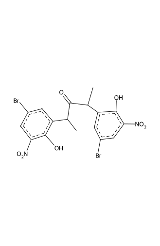 CC(C(=O)C(C)c1cc(Br)cc([N+](=O)[O-])c1O)c1cc(Br)cc([N+](=O)[O-])c1O